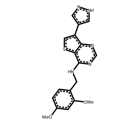 COc1ccc(CNc2ncnc3c(-c4cn[nH]c4)csc23)c(OC)c1